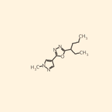 CCCC(CC)c1nnc(-c2cnn(C)c2)o1